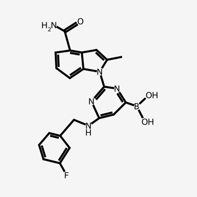 Cc1cc2c(C(N)=O)cccc2n1-c1nc(NCc2cccc(F)c2)cc(B(O)O)n1